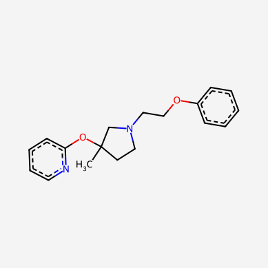 CC1(Oc2ccccn2)CCN(CCOc2ccccc2)C1